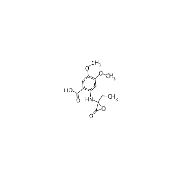 CCC1(Nc2cc(OC)c(OC)cc2C(=O)O)OC1=O